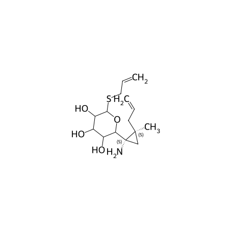 C=CCSC1OC([C@]2(N)C[C@]2(C)CC=C)C(O)C(O)C1O